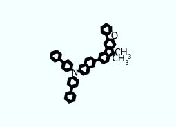 CC1(C)c2ccc(-c3ccc4cc(N(c5ccc(-c6ccccc6)cc5)c5ccc(-c6ccccc6)cc5)ccc4c3)cc2-c2cc3c(cc21)oc1ccccc13